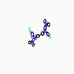 CC1Cc2c(c3ccccc3n2-c2ccccc2)C=C1N(c1ccc(-c2ccc(N(c3ccc(F)cc3)c3ccc4c(c3)c3ccccc3n4-c3ccccc3)cc2)cc1)C1C=CC(F)=CC1C